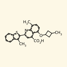 Cc1c(-c2cc(C(=O)O)c3c(OC4CC(C)C4)ccc(C)c3n2)sc2ccccc12